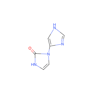 O=c1[nH]ccn1-c1c[nH]cn1